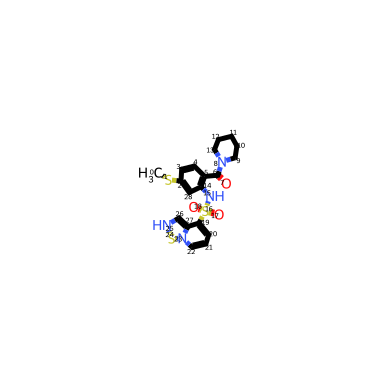 CSc1ccc(C(=O)N2CCCCC2)c(NS(=O)(=O)C2=CC=CN3SNC=C23)c1